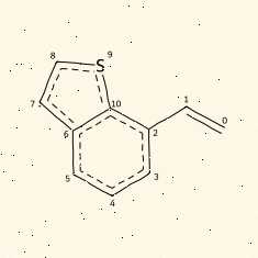 C=Cc1cccc2[c]csc12